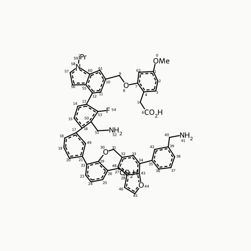 COc1ccc(CC(=O)O)c(OCc2cc(-c3ccc(-c4cccc(-c5cccc(CC(=O)O)c5OCc5cc(-c6cccc(CN)c6)c6occc6c5)c4)c(CN)c3F)c3ccn(C(C)C)c3c2)c1